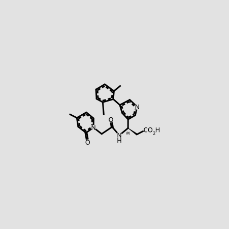 Cc1ccn(CC(=O)N[C@H](CC(=O)O)c2cncc(-c3c(C)cccc3C)c2)c(=O)c1